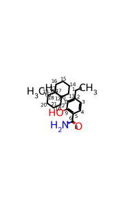 CCc1ccc(C(N)=O)c(O)c1[C@@]12CCCC[C@H]1[C@@H](C)CCC2